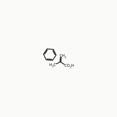 C=C(C)C(=O)O.c1ccccc1